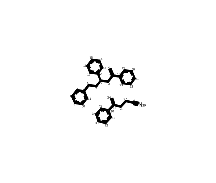 C=C(CC(CCc1ccccc1)c1ccccc1)c1ccccc1.C=C(CCC#N)c1ccccc1